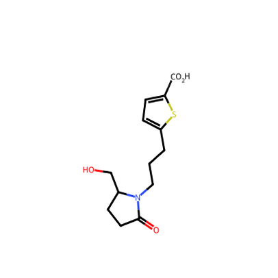 O=C(O)c1ccc(CCCN2C(=O)CCC2CO)s1